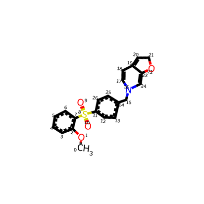 COc1ccccc1S(=O)(=O)c1ccc(CN2C=CC3=CCOC3=C2)cc1